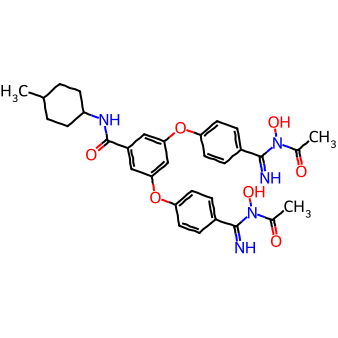 CC(=O)N(O)C(=N)c1ccc(Oc2cc(Oc3ccc(C(=N)N(O)C(C)=O)cc3)cc(C(=O)NC3CCC(C)CC3)c2)cc1